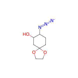 [N-]=[N+]=NC1CCC2(CC1O)OCCO2